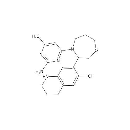 Cc1cc(N2CCCOCC2c2cc3c(cc2Cl)CCCN3)nc(N)n1